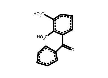 O=C(O)c1cccc(C(=O)c2ccccc2)c1C(=O)O